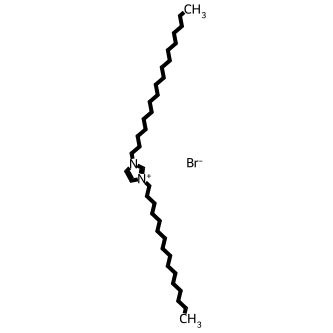 CCCCCCCCCCCCCCCCCCn1cc[n+](CCCCCCCCCCCCCCCC)c1.[Br-]